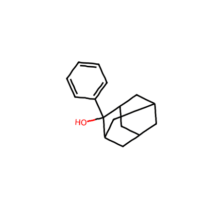 OC1(c2ccccc2)C2CC3CC(C2)CC1C3